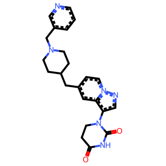 O=C1CCN(c2cnn3ccc(CC4CCN(Cc5cccnc5)CC4)cc23)C(=O)N1